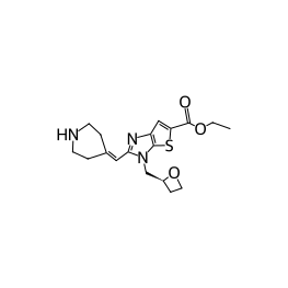 CCOC(=O)c1cc2nc(C=C3CCNCC3)n(C[C@@H]3CCO3)c2s1